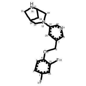 Fc1ccc(OCc2cncc(N3CC4CNC(C4)C3)c2)c(F)c1